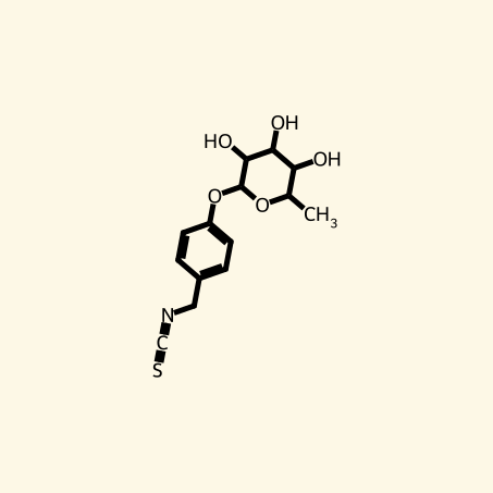 CC1OC(Oc2ccc(CN=C=S)cc2)C(O)C(O)C1O